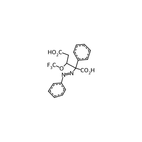 O=C(O)CC(OC(F)(F)F)C(N=Nc1ccccc1)(C(=O)O)c1ccccc1